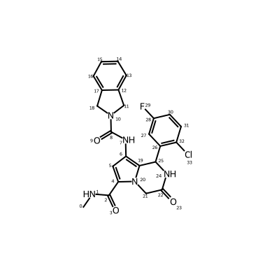 CNC(=O)c1cc(NC(=O)N2Cc3ccccc3C2)c2n1CC(=O)NC2c1cc(F)ccc1Cl